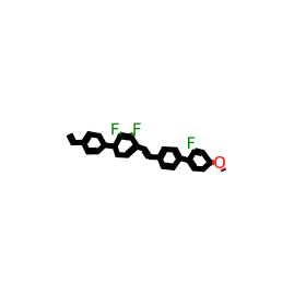 C=CC1=CCC(C2CC=C(/C=C/c3ccc(C4=CCC(OC)C=C4F)cc3)C(F)=C2F)C=C1